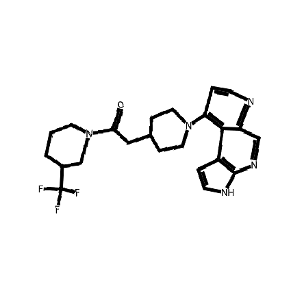 O=C(CC1CCN(c2ccnc3cnc4[nH]ccc4c23)CC1)N1CCCC(C(F)(F)F)C1